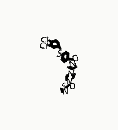 O=C(c1ccc(SCc2ccc(Cl)c(Cl)c2)cc1)N1CC(N2CCN(C(=O)c3nccs3)CC2)C1